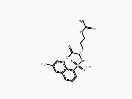 Cc1cnc2c(S(=O)(=O)N[C@@H](CCCNC(=N)N)C(=O)Cl)cccc2c1.Cl